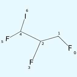 FCC(F)C(F)I